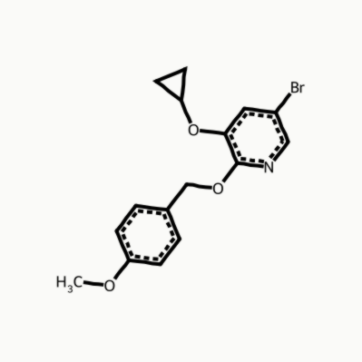 COc1ccc(COc2ncc(Br)cc2OC2CC2)cc1